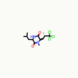 CC(C)CC1NC(=O)/C(=C\[C@H](C)C(Cl)(Cl)Cl)N(C)C1=O